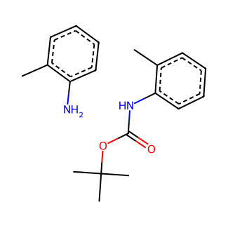 Cc1ccccc1N.Cc1ccccc1NC(=O)OC(C)(C)C